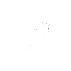 C1=CCC=C1.[Rh+2].c1cc[cH-]c1